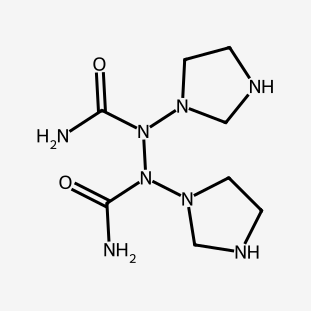 NC(=O)N(N1CCNC1)N(C(N)=O)N1CCNC1